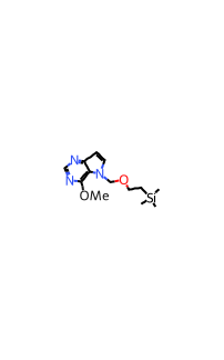 COc1ncnc2ccn(COCC[Si](C)(C)C)c12